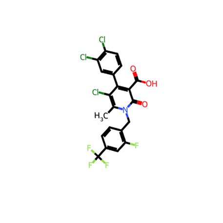 Cc1c(Cl)c(-c2ccc(Cl)c(Cl)c2)c(C(=O)O)c(=O)n1Cc1ccc(C(F)(F)F)cc1F